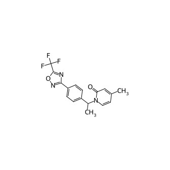 Cc1ccn(C(C)c2ccc(-c3noc(C(F)(F)F)n3)cc2)c(=O)c1